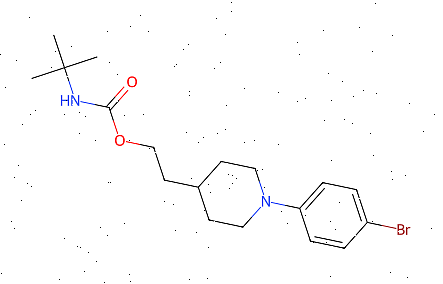 CC(C)(C)NC(=O)OCCC1CCN(c2ccc(Br)cc2)CC1